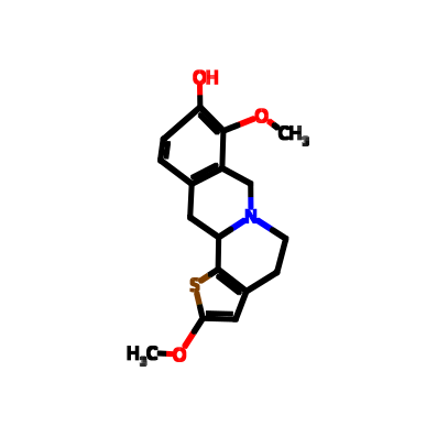 COc1cc2c(s1)C1Cc3ccc(O)c(OC)c3CN1CC2